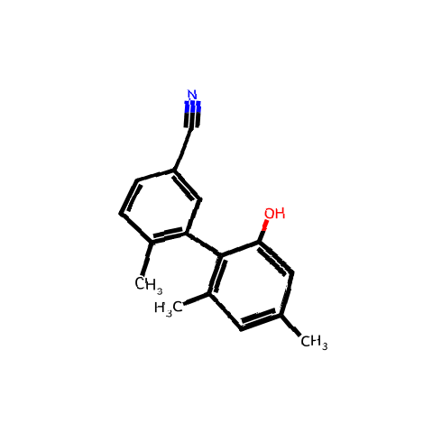 Cc1cc(C)c(-c2cc(C#N)ccc2C)c(O)c1